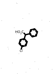 O=C(O)C(c1ccccc1)c1ccc(Cl)cc1